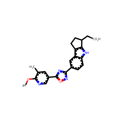 Cc1cc(-c2nc(-c3ccc4[nH]c5c(c4c3)CCC5CC(=O)O)no2)cnc1OC(C)C